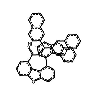 N/N=C(\N=C(/c1ccc2ccccc2c1)C1C=Cc2ccccc2C1)c1cccc2oc3cccc(-c4cccc5oc6ccccc6c45)c3c12